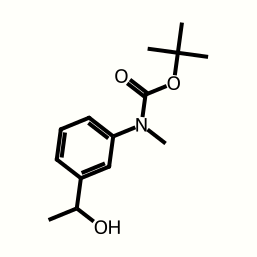 CC(O)c1cccc(N(C)C(=O)OC(C)(C)C)c1